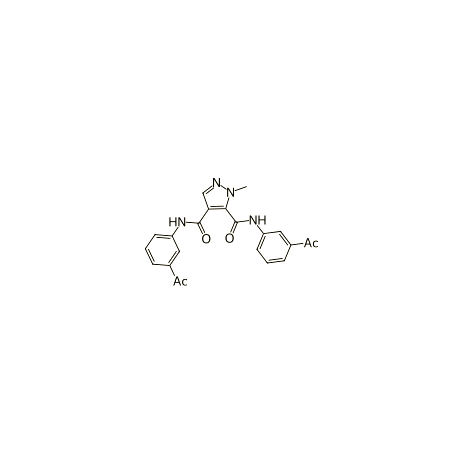 CC(=O)c1cccc(NC(=O)c2cnn(C)c2C(=O)Nc2cccc(C(C)=O)c2)c1